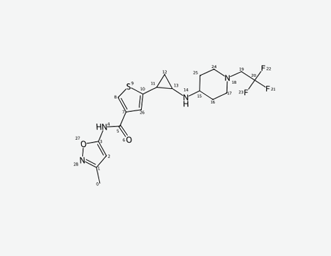 Cc1cc(NC(=O)c2csc(C3CC3NC3CCN(CC(F)(F)F)CC3)c2)on1